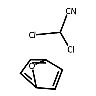 N#CC(Cl)Cl.c1cc2ccc1o2